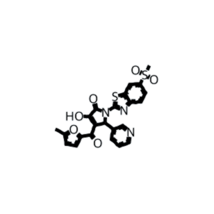 Cc1ccc(C(=O)C2=C(O)C(=O)N(c3nc4ccc(S(C)(=O)=O)cc4s3)C2c2cccnc2)o1